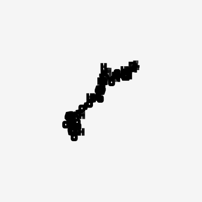 NCc1nn(-c2ccc(C(=O)NCCOCCOCCNc3cccc4c3C(=O)N(C3CCC(=O)NC3=O)C4=O)cc2)cc1NC(=O)c1coc(-c2ccnc(NCC(F)(F)F)c2)n1